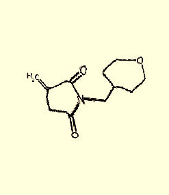 C=C1CC(=O)N(CC2CCOCC2)C1=O